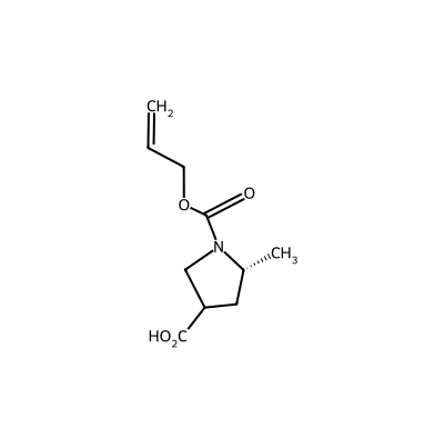 C=CCOC(=O)N1CC(C(=O)O)C[C@H]1C